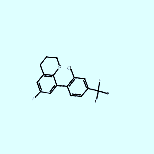 Fc1cc2c(c(-c3ccc(C(F)(F)F)cc3Cl)c1)OCCC2